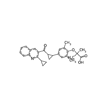 Cc1cc(C2CC2C(=O)c2cc3ccccc3nc2C2CC2)cc(C)c1OC(C)(C)C(=O)O